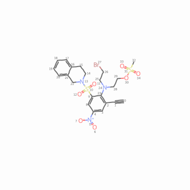 C#Cc1cc([N+](=O)[O-])cc(S(=O)(=O)N2CCc3ccccc3C2)c1N(CCBr)CCOS(C)(=O)=O